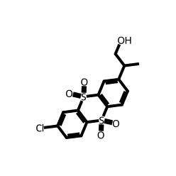 CC(CO)c1ccc2c(c1)S(=O)(=O)c1cc(Cl)ccc1S2(=O)=O